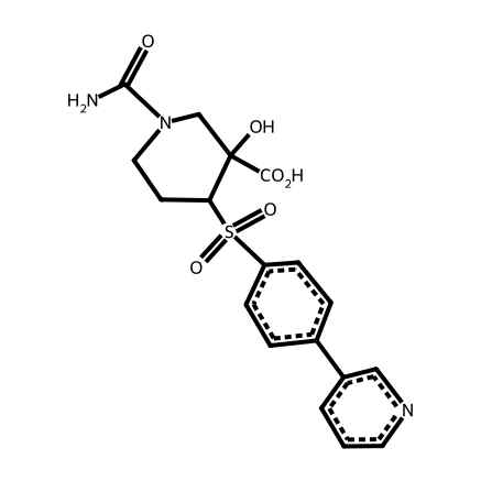 NC(=O)N1CCC(S(=O)(=O)c2ccc(-c3cccnc3)cc2)C(O)(C(=O)O)C1